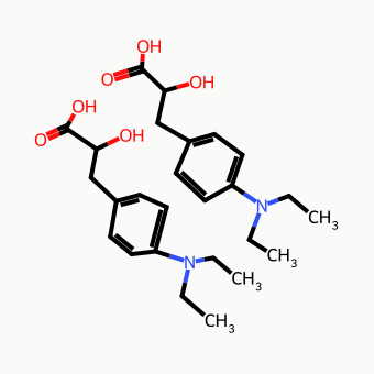 CCN(CC)c1ccc(CC(O)C(=O)O)cc1.CCN(CC)c1ccc(CC(O)C(=O)O)cc1